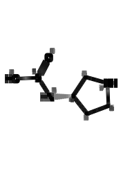 O=S(O)N[C@H]1CCNC1